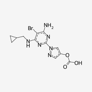 Nc1nc(-n2cc(OC(=O)O)cn2)nc(NCC2CC2)c1Br